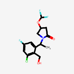 CC(c1cc(F)cc(Cl)c1CO)N1CC(OC(F)F)CC1=O